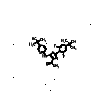 CC(C)(O)c1ccc(Nc2sc(-c3c(F)cc(C(C)(C)O)cc3F)nc2C(N)=O)nc1